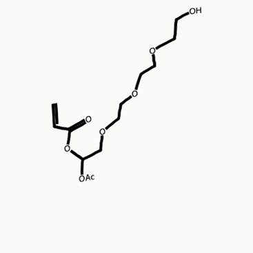 C=CC(=O)OC(COCCOCCOCCO)OC(C)=O